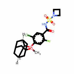 COC12CC3C[C@H](C1)C(Oc1cc(F)c(C(=O)NS(=O)(=O)N4CCC4)cc1Cl)[C@@H](C3)C2